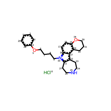 Cl.c1ccc(OCCCCn2c3c(c4c5c(ccc42)OCCC5)CCNCC3)cc1